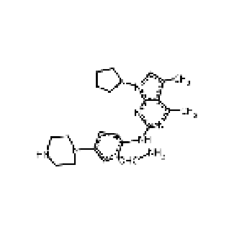 Cc1cn(N2CCCC2)c2nc(Nc3ccc(N4CCNCC4)cn3)nc(C)c12.NC=O